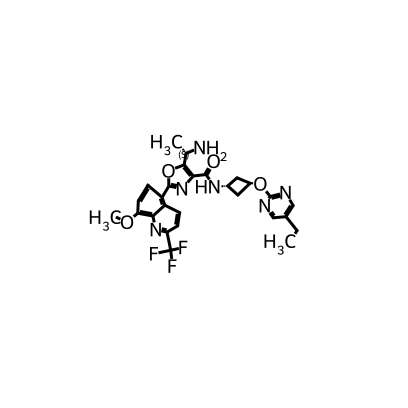 CCc1cnc(O[C@H]2C[C@@H](NC(=O)c3nc(-c4ccc(OC)c5nc(C(F)(F)F)ccc45)oc3[C@H](C)N)C2)nc1